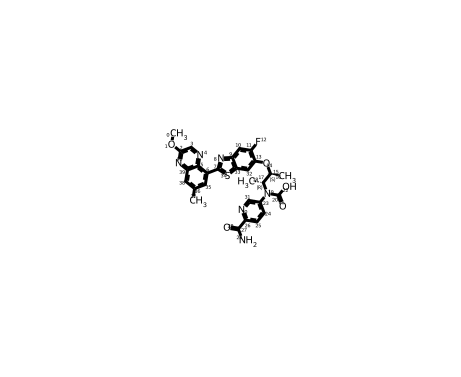 COc1cnc2c(-c3nc4cc(F)c(O[C@@H](C)[C@@H](C)N(C(=O)O)c5ccc(C(N)=O)nc5)cc4s3)cc(C)cc2n1